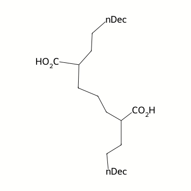 CCCCCCCCCCCCC(CCCC(CCCCCCCCCCCC)C(=O)O)C(=O)O